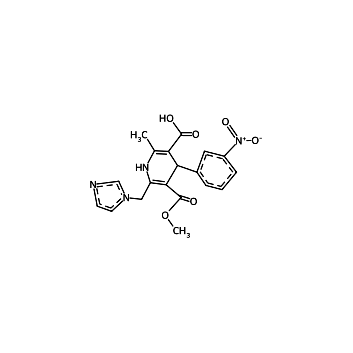 COC(=O)C1=C(Cn2ccnc2)NC(C)=C(C(=O)O)C1c1cccc([N+](=O)[O-])c1